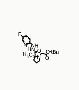 CC(C)(C)OC(=O)CN1CCC[C@@]1(C)C(=O)NNc1ccc(F)cn1